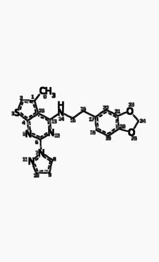 Cc1csc2nc(-n3cccn3)nc(NCCc3ccc4c(c3)OCO4)c12